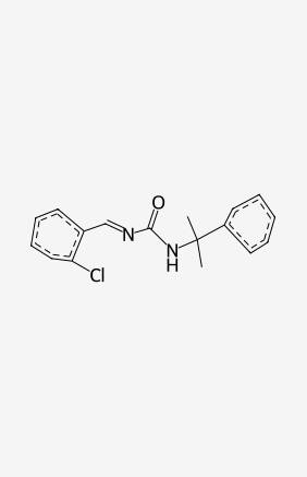 CC(C)(NC(=O)N=Cc1ccccc1Cl)c1ccccc1